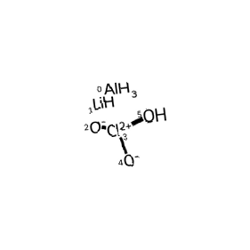 [AlH3].[LiH].[O-][Cl+2]([O-])O